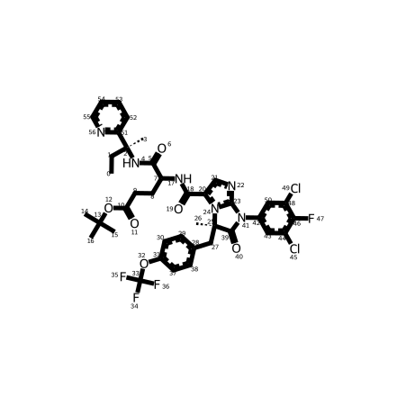 CC[C@](C)(NC(=O)C(CCC(=O)OC(C)(C)C)NC(=O)c1cnc2n1[C@](C)(Cc1ccc(OC(F)(F)F)cc1)C(=O)N2c1cc(Cl)c(F)c(Cl)c1)c1ccccn1